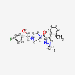 Cc1ccccc1-c1cn(C)nc1C(=O)N1CCN(CC(C=O)c2ccc(F)cc2)CC1